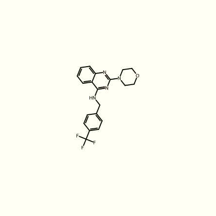 FC(F)(F)c1ccc(CNc2nc(N3CCOCC3)nc3ccccc23)cc1